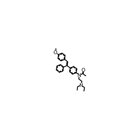 CCN(CC)CCN(C(C)=O)c1ccc(C(=Cc2ccc(OC)cc2)c2ccccc2)cc1